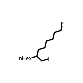 CCCCCCC(CI)CCCCCCF